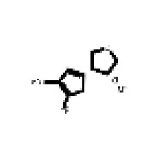 C1CCOC1.CCCCC1=[C]([Ti+2])CC=C1.[Cl-].[Cl-]